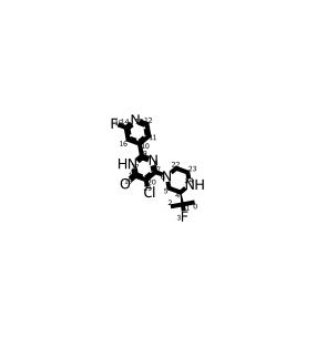 CC(C)(F)[C@H]1CN(c2nc(-c3ccnc(F)c3)[nH]c(=O)c2Cl)CCN1